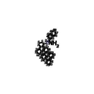 N/C(=C\Cc1cccc(-c2ccccc2-c2ccccc2-c2ccccc2-c2ccccc2-c2ccccc2)c1)c1ccc2c(c1)CCCC2